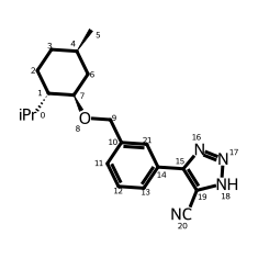 CC(C)[C@@H]1CC[C@@H](C)C[C@H]1OCc1cccc(-c2nn[nH]c2C#N)c1